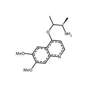 COc1cc2nccc(OC(C)[C@@H](C)N)c2cc1OC